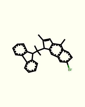 CC1=Cc2c(cc3cc(Br)ccc3c2C)C1C(C)(C)C1c2ccccc2-c2ccccc21